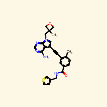 Cc1ccc(C(=O)NCc2ccsc2)cc1C#Cc1cn(CC2(C)COC2)c2ncnc(N)c12